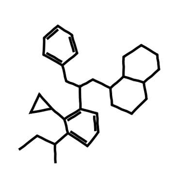 CCC(C)c1cccc([C](Cc2ccccc2)CC2CCCC3CCCCC32)c1C1CC1